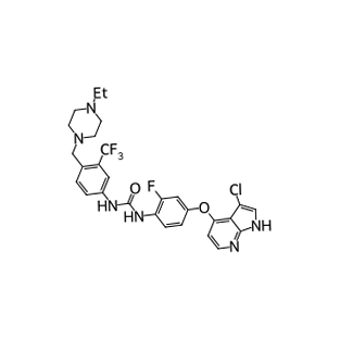 CCN1CCN(Cc2ccc(NC(=O)Nc3ccc(Oc4ccnc5[nH]cc(Cl)c45)cc3F)cc2C(F)(F)F)CC1